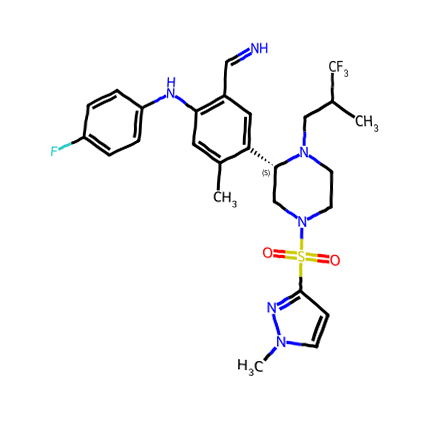 Cc1cc(Nc2ccc(F)cc2)c(C=N)cc1[C@H]1CN(S(=O)(=O)c2ccn(C)n2)CCN1CC(C)C(F)(F)F